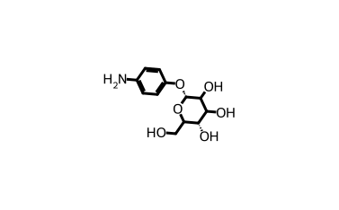 Nc1ccc(O[C@H]2OC(CO)[C@@H](O)C(O)C2O)cc1